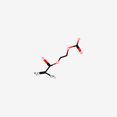 C=C(C)C(=O)OCCOC([O])=O